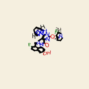 [2H][C@]1(F)CN2CCC[C@@]2(COc2nc(N3C[C@H]4CC[C@@H](C3)N4)c3cnn(-c4cc(O)cc5ccc(F)c(C#C)c45)c(=O)c3n2)C1